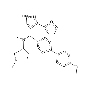 COc1ccc(-c2ccc(C(c3c[nH]nc3-c3ccco3)N(C)C3CCN(C)C3)cc2)cc1